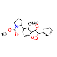 COc1c(C(=O)C(O)c2ccccc2)cccc1C1CCCN1C(=O)OC(C)(C)C